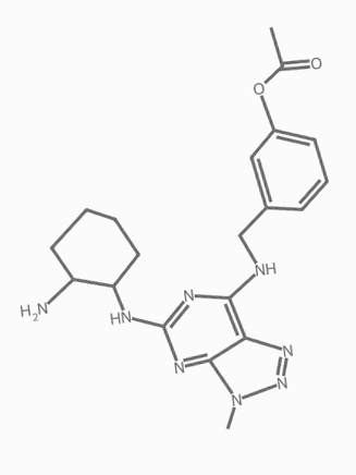 CC(=O)Oc1cccc(CNc2nc(NC3CCCCC3N)nc3c2nnn3C)c1